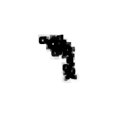 CC(C)(C)OC(=O)COCC1CCN(S(=O)(=O)c2c(Cl)cc(Cl)cc2Cl)C1